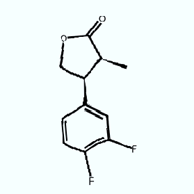 C[C@@H]1C(=O)OC[C@@H]1c1ccc(F)c(F)c1